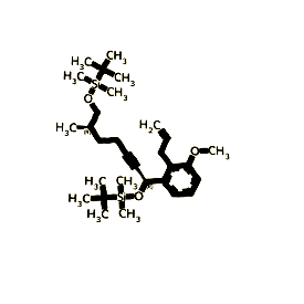 C=CCc1c(OC)cccc1[C@H](C#CCC[C@@H](C)CO[Si](C)(C)C(C)(C)C)O[Si](C)(C)C(C)(C)C